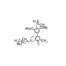 COc1cc(-c2cn(C)c(=O)c3c2CCN(CCO[Si](C)(C)C(C)(C)C)C3)cc(OC)c1CN(C)C